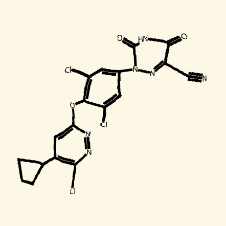 N#Cc1nn(-c2cc(Cl)c(Oc3cc(C4CCC4)c(Cl)nn3)c(Cl)c2)c(=O)[nH]c1=O